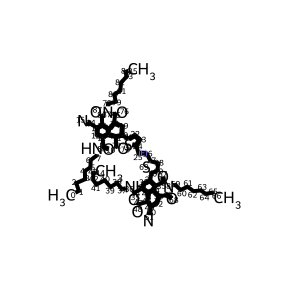 CCCCCCCCNC(=O)c1cc(C#N)c2c3c(cc(-c4ccc(/C=C/C5CCC(c6cc(C(=O)NCCCCCCCC)c7c(C=O)c(C#N)cc8c7c6C(=O)N(CCCCCCCC)C8=O)S5)s4)c(C=O)c13)C(=O)N(CCCCCCCC)C2=O